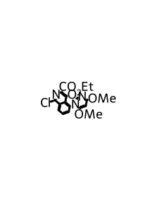 CCOC(=O)c1nc(Cl)c2ccccc2c1Oc1nc(OC)cc(OC)n1